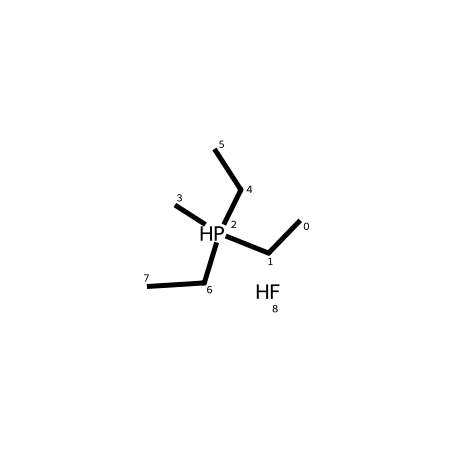 CC[PH](C)(CC)CC.F